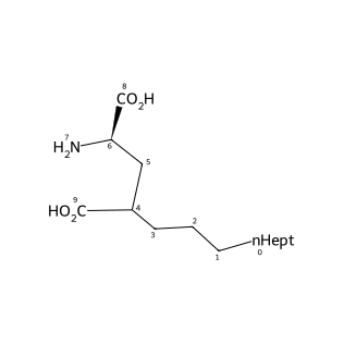 CCCCCCCCCCC(C[C@@H](N)C(=O)O)C(=O)O